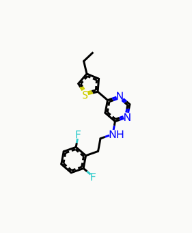 CCc1csc(-c2cc(NCCc3c(F)cccc3F)ncn2)c1